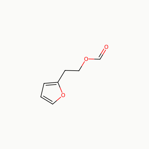 O=COCCc1ccco1